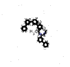 CC1/C=C(c2cccc(-c3ccccc3)c2)\C=C/COc2cc3oc4ccc(-c5cccc(-c6ccccc6)c5)cc4c3cc21